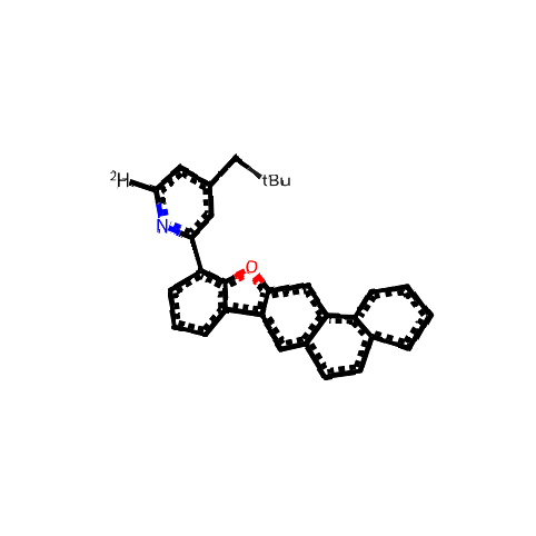 [2H]c1cc(CC(C)(C)C)cc(-c2cccc3c2oc2cc4c(ccc5ccccc54)cc23)n1